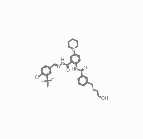 O=C(Nc1ccc(N2CCCCC2)cc1C(=O)N/N=C/c1ccc(Cl)c(C(F)(F)F)c1)c1cccc(CSCCO)c1